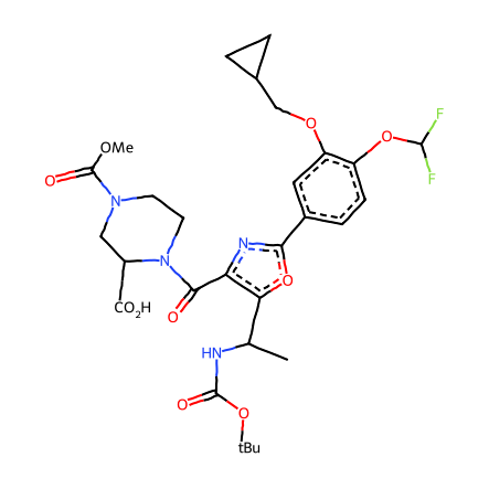 COC(=O)N1CCN(C(=O)c2nc(-c3ccc(OC(F)F)c(OCC4CC4)c3)oc2C(C)NC(=O)OC(C)(C)C)C(C(=O)O)C1